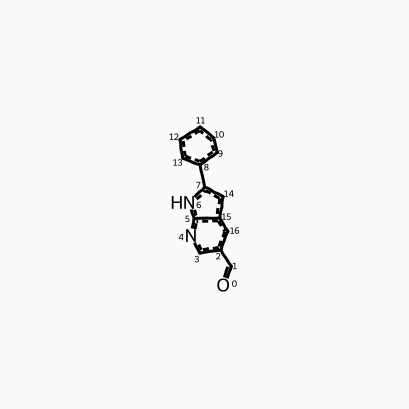 O=Cc1cnc2[nH]c(-c3ccccc3)cc2c1